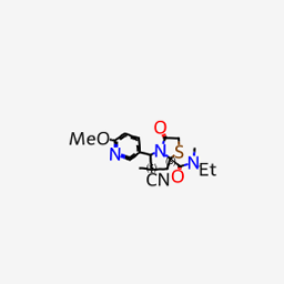 CCN(C)C(=O)[C@@]12C[C@](C)(C#N)C(c3ccc(OC)nc3)N1C(=O)CS2